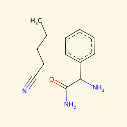 CCCCC#N.NC(=O)C(N)c1ccccc1